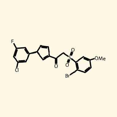 COc1ccc(Br)c(S(=O)(=O)CC(=O)C2=CC(c3cc(F)cc(Cl)c3)C=C2)c1